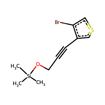 C[Si](C)(C)OCC#Cc1cscc1Br